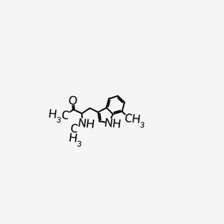 CNC(Cc1c[nH]c2c(C)cccc12)C(C)=O